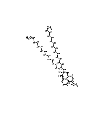 C=c1ccc2c3c(cccc13)NC(CCCCCCCCCCCCCCCCC)(CCCCCCCCCCCCCCCCC)N=2